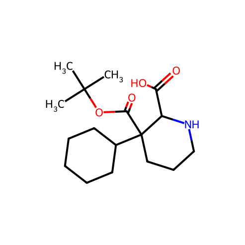 CC(C)(C)OC(=O)C1(C2CCCCC2)CCCNC1C(=O)O